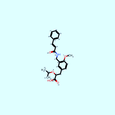 COc1ccc(CC(OC(C)C)C(=O)O)cc1CNC(=O)C=Cc1ccccc1